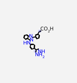 N=C/C(=C\N)c1ccc(Nc2nc(-c3cccc(/C=C/C(=O)O)c3)nc3ccccc23)cc1